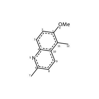 COc1ccc2nc(C)ccc2c1C